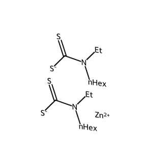 CCCCCCN(CC)C(=S)[S-].CCCCCCN(CC)C(=S)[S-].[Zn+2]